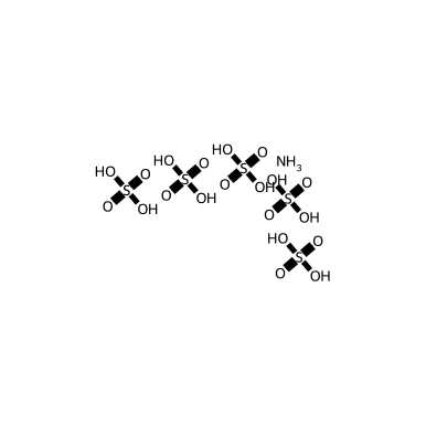 N.O=S(=O)(O)O.O=S(=O)(O)O.O=S(=O)(O)O.O=S(=O)(O)O.O=S(=O)(O)O